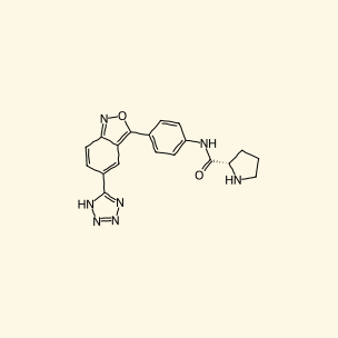 O=C(Nc1ccc(-c2onc3ccc(-c4nnn[nH]4)cc23)cc1)[C@@H]1CCCN1